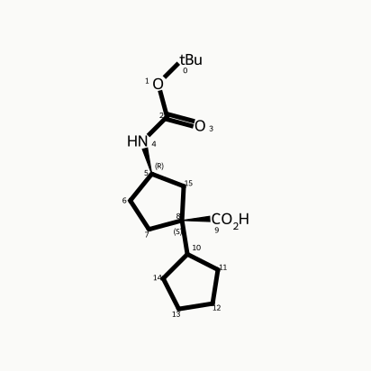 CC(C)(C)OC(=O)N[C@@H]1CC[C@@](C(=O)O)(C2CCCC2)C1